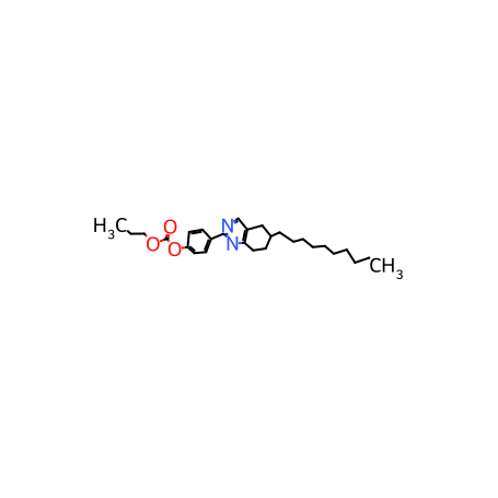 CCCCCCCCCCC1CCc2nc(-c3ccc(OC(=O)OCCC)cc3)ncc2C1